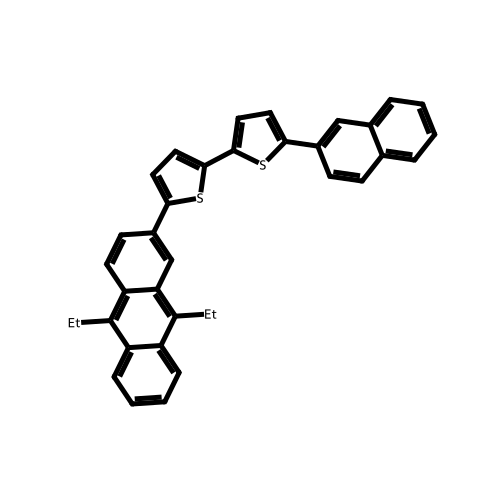 CCc1c2ccccc2c(CC)c2cc(-c3ccc(-c4ccc(-c5ccc6ccccc6c5)s4)s3)ccc12